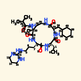 CC[C@@H]1NC(=O)[C@H](CCCNC2=NCCCN2)NC(=O)[C@](C)(NC(=O)C(C)C)CCNC(=O)[C@@H](CC2CCCCC2)NC1=O